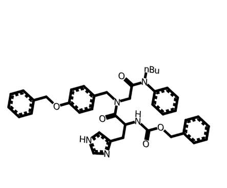 CCCCN(C(=O)CN(Cc1ccc(OCc2ccccc2)cc1)C(=O)C(Cc1c[nH]cn1)NC(=O)OCc1ccccc1)c1ccccc1